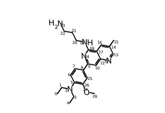 CCN(CC)c1ccc(-c2cc3ncc(C)cc3c(NCCCN)n2)cc1OC